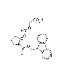 O=C(O)CONO[C@@H]1CCCN1C(=O)OCC1c2ccccc2-c2ccccc21